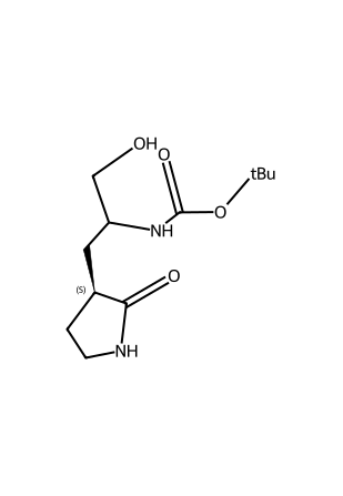 CC(C)(C)OC(=O)NC(CO)C[C@@H]1CCNC1=O